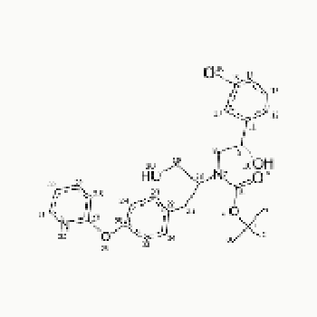 CC(C)(C)OC(=O)N(C[C@@H](O)c1cccc(Cl)c1)C(CO)Cc1ccc(Oc2ccccn2)cc1